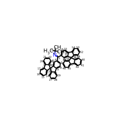 CC(C)(C)N=C(c1ccc2c(c1)C1(c3ccccc3-c3ccccc31)c1ccccc1-2)c1ccc2c(c1)C1(c3ccccc3-c3ccccc31)c1ccccc1-2